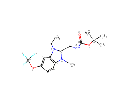 CCN1c2cc(OC(F)(F)F)ccc2N(C)C1CNC(=O)OC(C)(C)C